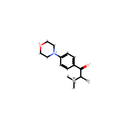 CC[CH](C(=O)c1ccc(N2CCOCC2)cc1)[SnH]([CH3])[CH3]